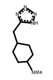 CNC1CCC(Cc2nnn[nH]2)CC1